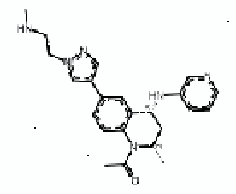 CNCCn1cc(-c2ccc3c(c2)[C@H](Nc2cccnc2)C[C@H](C)N3C(C)=O)cn1